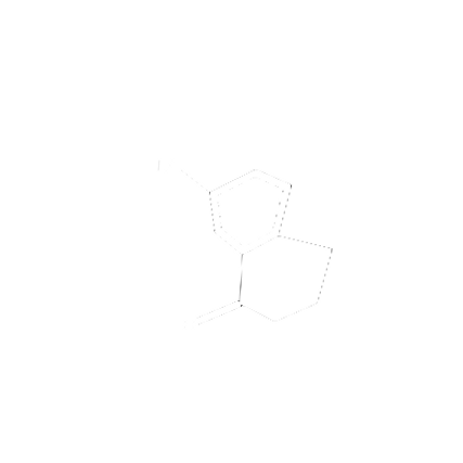 Cc1ccc2c(c1)C(=O)CCC2